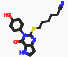 N#CCCCCCSc1nc2cc[nH]c2c(=O)n1-c1ccc(O)cc1